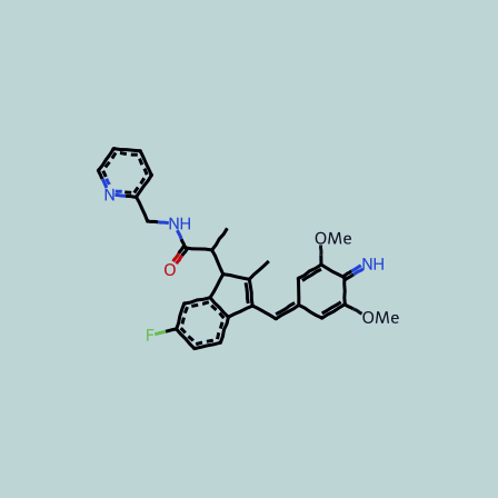 COC1=CC(=CC2=C(C)C(C(C)C(=O)NCc3ccccn3)c3cc(F)ccc32)C=C(OC)C1=N